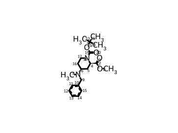 COC(=O)[C@H]1C[C@@H](N(C)Cc2ccccc2)CCN1C(=O)OC(C)(C)C